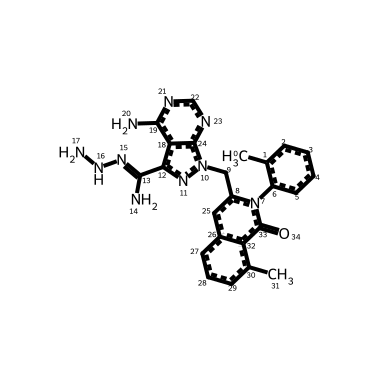 Cc1ccccc1-n1c(Cn2nc(/C(N)=N/NN)c3c(N)ncnc32)cc2cccc(C)c2c1=O